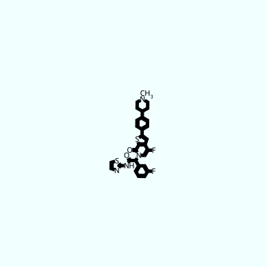 CN1CCC(c2ccc(-c3cc4c(F)cn(C(C(=O)Nc5nccs5)c5cccc(F)c5)c(=O)c4s3)cc2)CC1